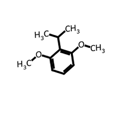 COc1cccc(OC)c1C(C)C